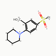 CCS(=O)(=O)c1ccc(N2CCCCC2)c(C(=O)O)c1